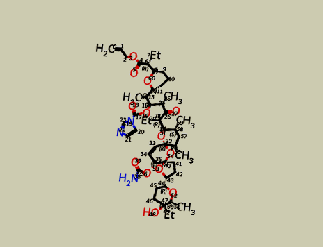 C=CCOC(=O)[C@H](CC)[C@H]1CCC[C@H]([C@@H](C)[C@H](OC(=O)n2ccnc2)[C@H](C)C(=O)[C@H](CC)[C@H]2O[C@]3(C=C[C@@H](OC(N)=O)[C@]4(CCC([C@H]5CC[C@](O)(CC)[C@H](C)O5)O4)O3)[C@H](C)C[C@@H]2C)O1